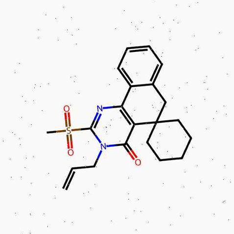 C=CCn1c(S(C)(=O)=O)nc2c(c1=O)C1(CCCCC1)Cc1ccccc1-2